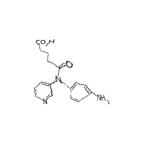 Nc1ccc(N(C(=O)CCCC(=O)O)c2cccnc2)cc1